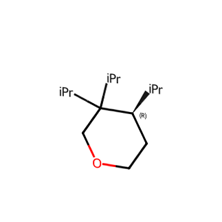 CC(C)[C@H]1CCOCC1(C(C)C)C(C)C